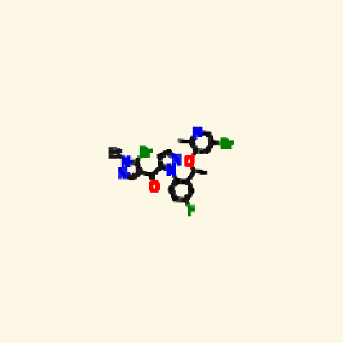 CCn1ncc(C(=O)c2ccnn2-c2ccc(F)cc2C(C)Oc2cc(Br)cnc2C)c1Br